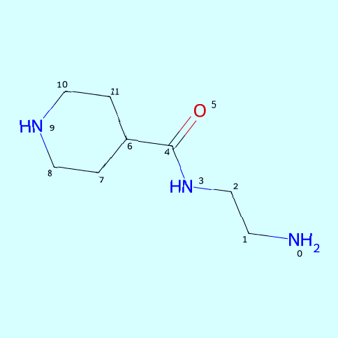 NCCNC(=O)C1CCNCC1